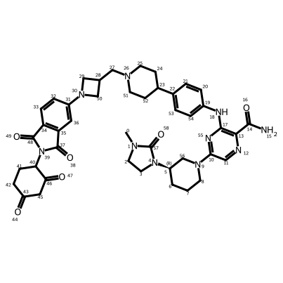 CN1CCN([C@@H]2CCCN(c3cnc(C(N)=O)c(Nc4ccc(C5CCN(CC6CN(c7ccc8c(c7)C(=O)N(C7CCC(=O)CC7=O)C8=O)C6)CC5)cc4)n3)C2)C1=O